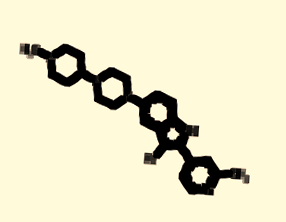 CCc1c(-c2ccnc(C)c2)[nH]c2ccc(N3CCN(C4CCN(C)CC4)CC3)cc12